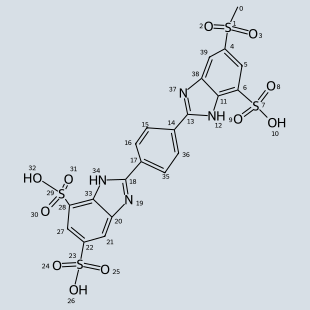 CS(=O)(=O)c1cc(S(=O)(=O)O)c2[nH]c(-c3ccc(-c4nc5cc(S(=O)(=O)O)cc(S(=O)(=O)O)c5[nH]4)cc3)nc2c1